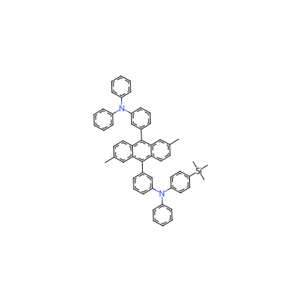 Cc1ccc2c(-c3cccc(N(c4ccccc4)c4ccc([Si](C)(C)C)cc4)c3)c3cc(C)ccc3c(-c3cccc(N(c4ccccc4)c4ccccc4)c3)c2c1